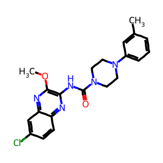 COc1nc2cc(Cl)ccc2nc1NC(=O)N1CCN(c2cccc(C)c2)CC1